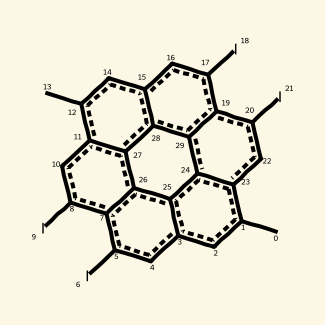 Cc1cc2cc(I)c3c(I)cc4c(C)cc5cc(I)c6c(I)cc1c1c2c3c4c5c61